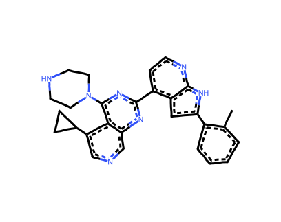 Cc1ccccc1-c1cc2c(-c3nc(N4CCNCC4)c4c(C5CC5)cncc4n3)ccnc2[nH]1